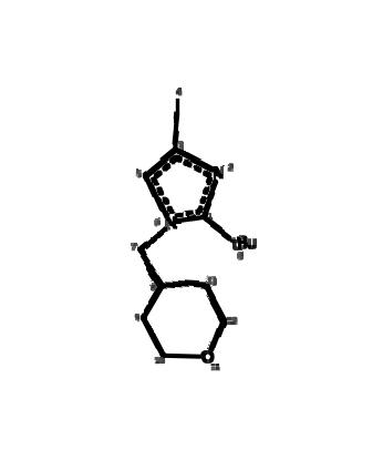 CC(C)(C)c1nc(I)cn1CC1CCOCC1